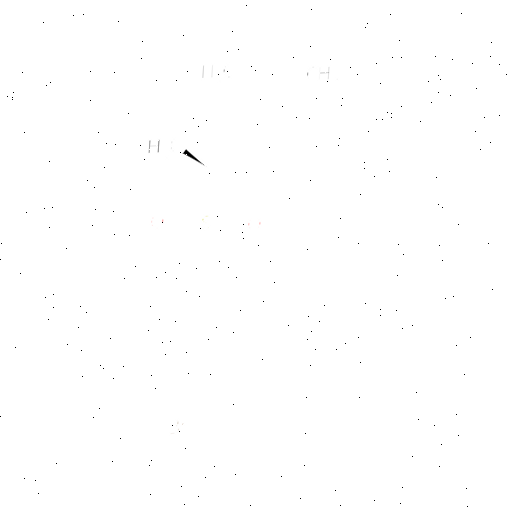 CC(C)C[C@H](C)S(=O)(=O)c1ccc(Br)cc1